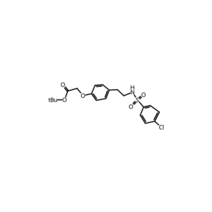 CC(C)(C)OC(=O)COc1ccc(CCNS(=O)(=O)c2ccc(Cl)cc2)cc1